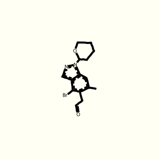 Cc1cc2c(cnn2C2CCCCO2)c(Br)c1CC=O